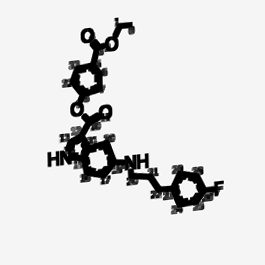 CCOC(=O)c1ccc(OC(=O)c2c[nH]c3ccc(NCCCc4ccc(F)cc4)cc23)cc1